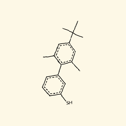 Cc1cc(C(C)(C)C)cc(C)c1-c1cccc(S)c1